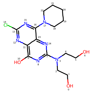 OCCN(CCO)c1nc(O)c2nc(Cl)nc(N3CCCCC3)c2n1